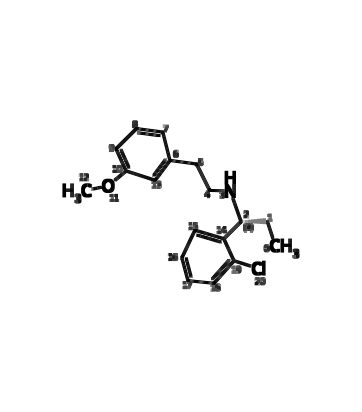 CC[C@@H](NCCc1cccc(OC)c1)c1ccccc1Cl